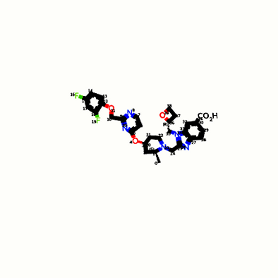 C[C@H]1C[C@@H](Oc2ccnc(COc3ccc(F)cc3F)n2)CCN1Cc1nc2ccc(C(=O)O)cc2n1C[C@H]1CCO1